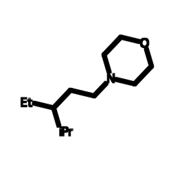 CCC(CCN1CCOCC1)C(C)C